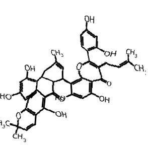 CC(C)=CCc1c(-c2ccc(O)cc2O)oc2c(C3C=C(C)CC(c4ccc(O)cc4O)C3C(=O)c3ccc4c(c3O)C=CC(C)(C)O4)c(O)cc(O)c2c1=O